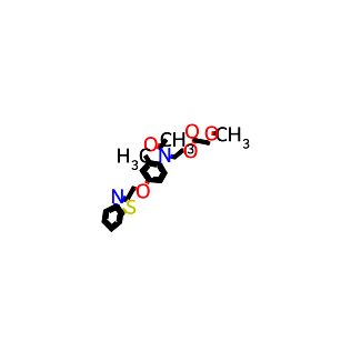 COCC(=O)OCCN(C(C)=O)c1ccc(OCc2nc3ccccc3s2)cc1C